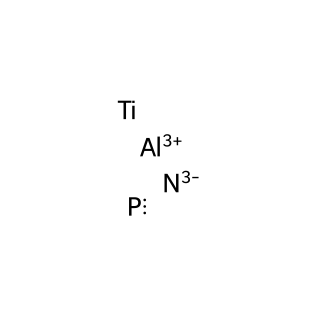 [Al+3].[N-3].[P].[Ti]